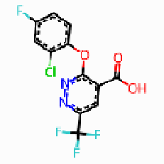 O=C(O)c1cc(C(F)(F)F)nnc1Oc1ccc(F)cc1Cl